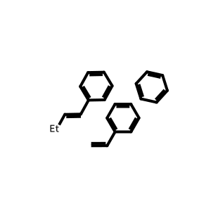 C=Cc1ccccc1.CCC=Cc1ccccc1.c1ccccc1